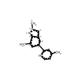 Cc1ccnc(-c2cc(C)c3nn(C)cc3c2)c1